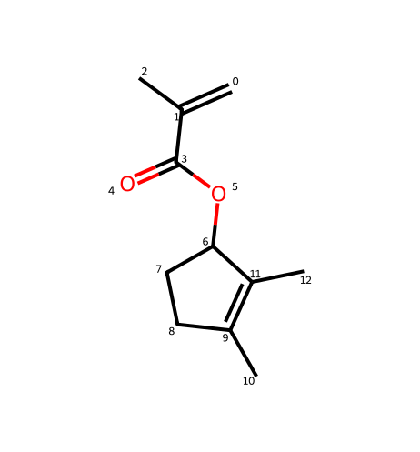 C=C(C)C(=O)OC1CCC(C)=C1C